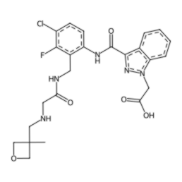 CC1(CNCC(=O)NCc2c(NC(=O)c3nn(CC(=O)O)c4ccccc34)ccc(Cl)c2F)COC1